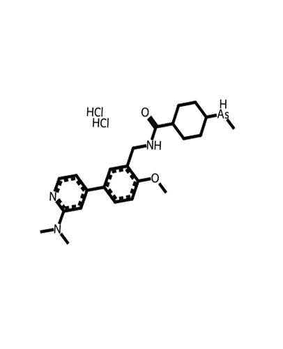 COc1ccc(-c2ccnc(N(C)C)c2)cc1CNC(=O)C1CCC([AsH]C)CC1.Cl.Cl